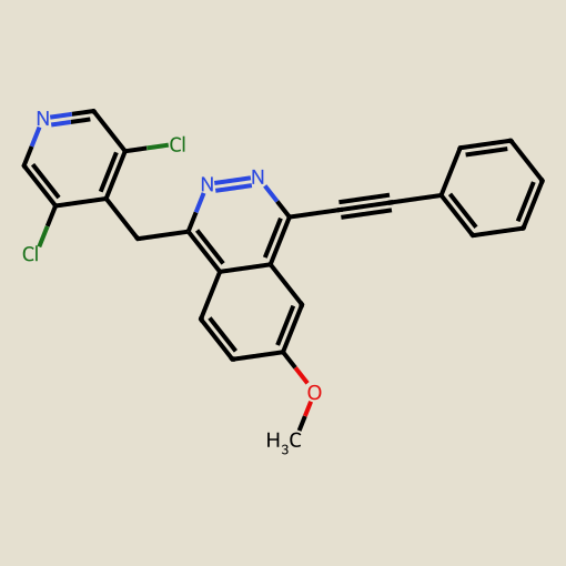 COc1ccc2c(Cc3c(Cl)cncc3Cl)nnc(C#Cc3ccccc3)c2c1